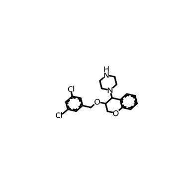 Clc1cc(Cl)cc(COC2COc3ccccc3C2N2CCNCC2)c1